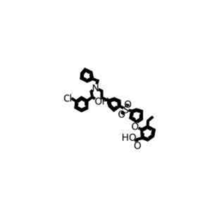 CCc1cccc(C(=O)O)c1Oc1cccc(S(=O)(=O)c2ccc(CCN(Cc3ccccc3)CC(O)c3cccc(Cl)c3)cc2)c1